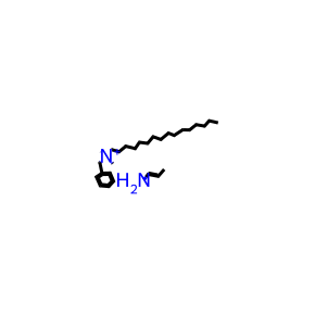 CC=CN.CCCCCCCCCCCCCCCC[N+](C)(C)Cc1ccccc1